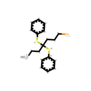 O=C(O)CCC(CCCP)(Sc1ccccc1)Sc1ccccc1